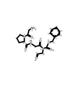 NCC(=O)N1CCC[C@H]1C(=O)NCC(=O)N(C[C]=O)C(=O)OCc1ccccc1